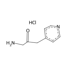 Cl.NCC(=O)Cc1ccncc1